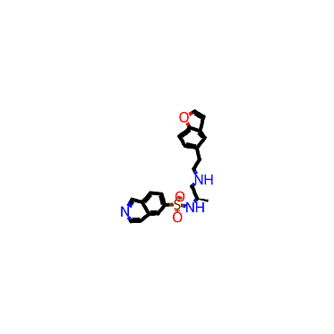 C[C@H](CNCCc1ccc2occc2c1)NS(=O)(=O)c1ccc2cnccc2c1